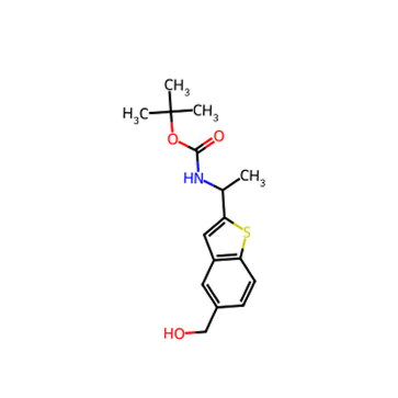 CC(NC(=O)OC(C)(C)C)c1cc2cc(CO)ccc2s1